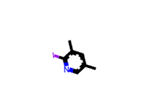 Cc1cnc(I)c(C)c1